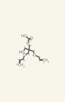 C=CCOCC(CO)(COCC=C)COC(=O)O